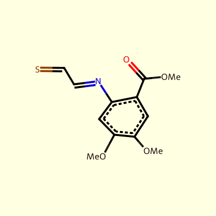 COC(=O)c1cc(OC)c(OC)cc1N=CC=S